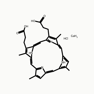 CC1=Cc2cc3[nH]c(cc4nc(cc5[nH]c(cc1n2)c(C)c5CCC(=O)O)C(CCC(=O)O)=C4C)cc3C.Cl.[GaH3]